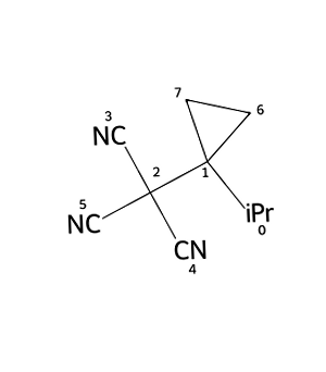 CC(C)C1(C(C#N)(C#N)C#N)CC1